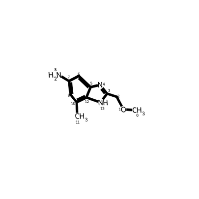 COCc1nc2cc(N)cc(C)c2[nH]1